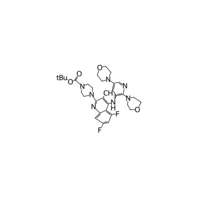 Cc1c(N2CCN(C(=O)OC(C)(C)C)CC2)nc2cc(F)cc(F)c2c1Nc1cc(N2CCOCC2)cnc1N1CCOCC1